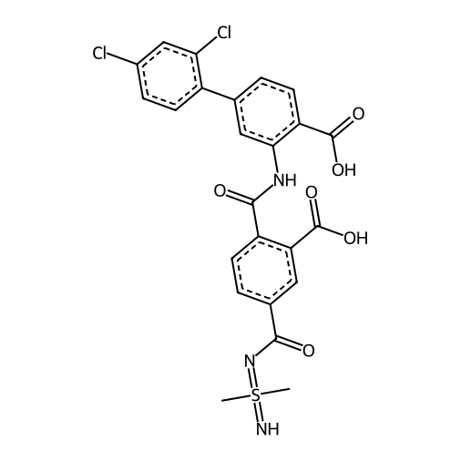 CS(C)(=N)=NC(=O)c1ccc(C(=O)Nc2cc(-c3ccc(Cl)cc3Cl)ccc2C(=O)O)c(C(=O)O)c1